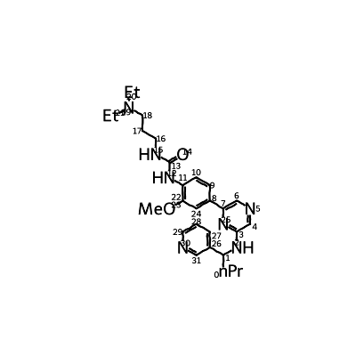 CCCC(Nc1cncc(-c2ccc(NC(=O)NCCCN(CC)CC)c(OC)c2)n1)c1cccnc1